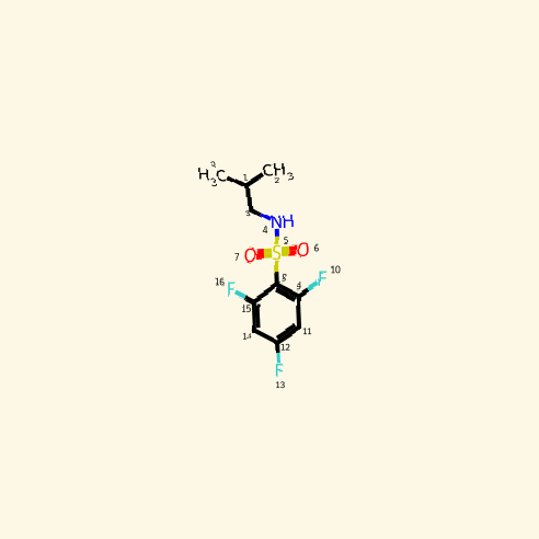 CC(C)CNS(=O)(=O)c1c(F)cc(F)cc1F